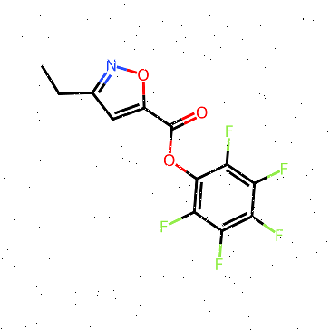 CCc1cc(C(=O)Oc2c(F)c(F)c(F)c(F)c2F)on1